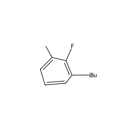 [CH2]C(CC)c1cccc(C)c1F